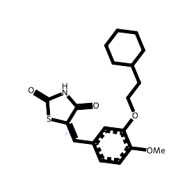 COc1ccc(/C=C2/SC(=O)NC2=O)cc1OCCC1CCCCC1